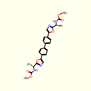 CCCCOC(=O)N[C@H](c1ncc(-c2ccc(-c3ccc(-c4cnc([C@@H](NC(=O)OCCCC)C(C)C)o4)cc3)cc2)o1)C(C)C